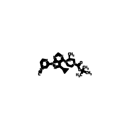 [C-]#[N+]c1ccnc(-n2nc(C3CC3)c3c(N4CCN(C(=O)OC(C)(C)C)C[C@@H]4C)ncnc32)c1